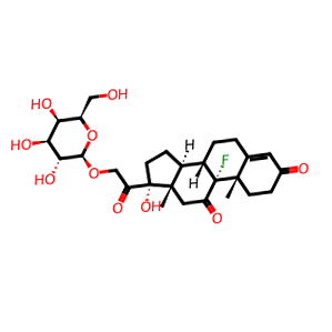 C[C@]12CCC(=O)C=C1CC[C@H]1[C@@H]3CC[C@](O)(C(=O)CO[C@@H]4O[C@H](CO)[C@H](O)[C@H](O)[C@H]4O)[C@@]3(C)CC(=O)[C@@]12F